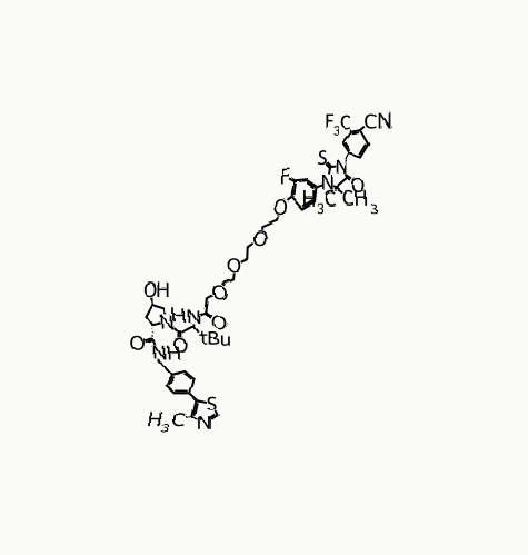 Cc1ncsc1-c1ccc(CNC(=O)[C@@H]2C[C@@H](O)CN2C(=O)C(NC(=O)COCCOCCOCCOc2ccc(N3C(=S)N(c4ccc(C#N)c(C(F)(F)F)c4)C(=O)C3(C)C)cc2F)C(C)(C)C)cc1